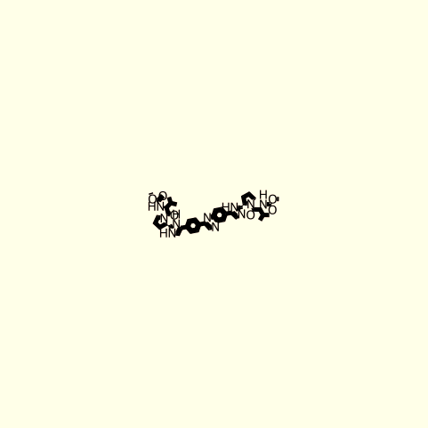 COC(=O)N[C@H](C(=O)N1CCC[C@H]1c1ncc(-c2ccc3nc(-c4ccc(C5=CNC([C@@H]6CCCN6C(=O)[C@@H](NC(=O)OC)C(C)C)N5)cc4)cnc3c2)[nH]1)C(C)C